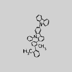 Cc1ccccc1-c1cccc(-c2cccc3c4cc(-n5c6ccccc6c6ccccc65)ccc4n(-c4ccccc4)c23)c1C